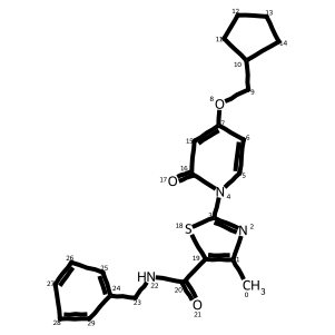 Cc1nc(-n2ccc(OCC3CCCC3)cc2=O)sc1C(=O)NCc1ccccc1